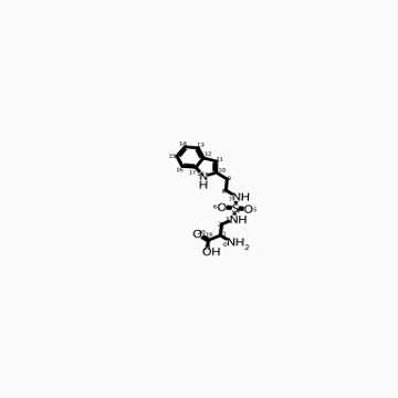 NC(CNS(=O)(=O)NCCc1cc2ccccc2[nH]1)C(=O)O